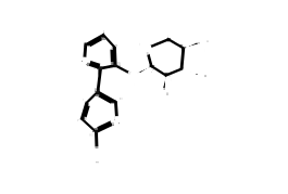 O[C@@H]1[C@@H](O)[C@@H](Oc2cccnc2-c2ccc(F)nc2)SC[C@H]1O